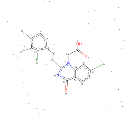 O=C(O)Cn1c(CCc2ccc(F)c(F)c2F)nc(=O)c2ccc(F)cc21